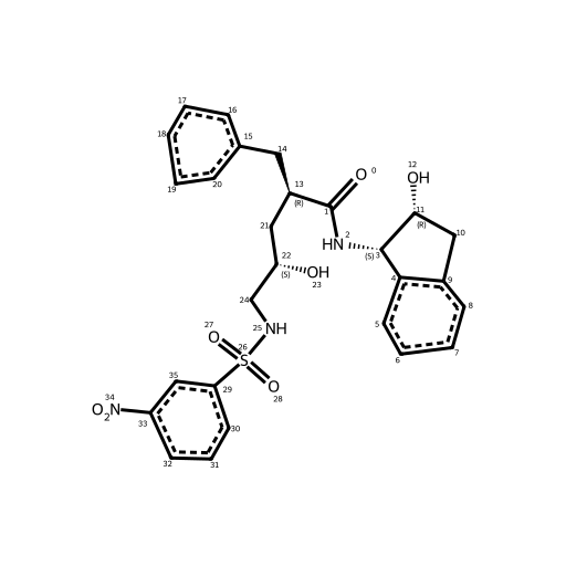 O=C(N[C@H]1c2ccccc2C[C@H]1O)[C@H](Cc1ccccc1)C[C@H](O)CNS(=O)(=O)c1cccc([N+](=O)[O-])c1